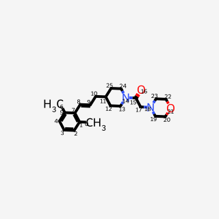 Cc1cccc(C)c1/C=C/CC1CCN(C(=O)CN2CCOCC2)CC1